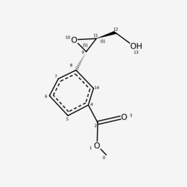 COC(=O)c1cccc([C@@H]2O[C@H]2CO)c1